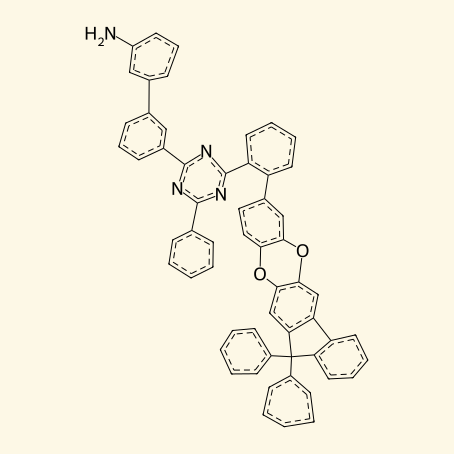 Nc1cccc(-c2cccc(-c3nc(-c4ccccc4)nc(-c4ccccc4-c4ccc5c(c4)Oc4cc6c(cc4O5)C(c4ccccc4)(c4ccccc4)c4ccccc4-6)n3)c2)c1